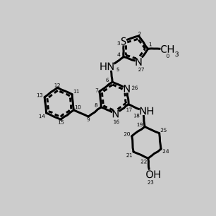 Cc1csc(Nc2cc(Cc3ccccc3)nc(NC3CCC(O)CC3)n2)n1